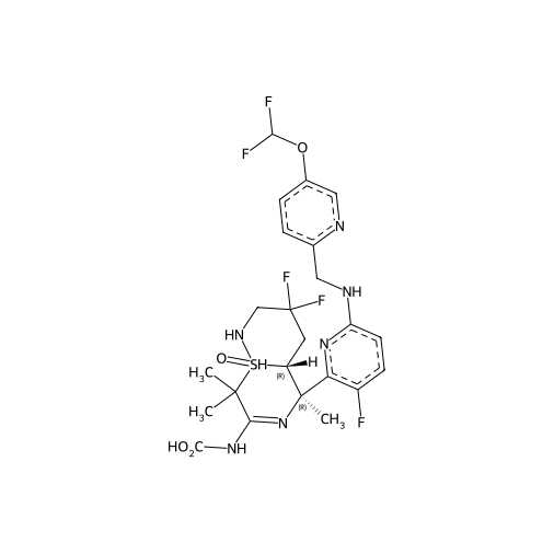 CC1(C)C(NC(=O)O)=N[C@](C)(c2nc(NCc3ccc(OC(F)F)cn3)ccc2F)[C@H]2CC(F)(F)CN[SH]21=O